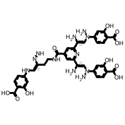 N=N/C(=C\Nc1ccc(C(=O)O)c(O)c1)CCNC(=O)c1cc(/C(N)=C/N(N)c2ccc(C(=O)O)c(O)c2)nc(/C(N)=C/N(N)c2ccc(C(=O)O)c(O)c2)c1